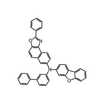 c1ccc(-c2cccc(N(c3ccc4c(ccc5oc(-c6ccccc6)nc54)c3)c3ccc4c(c3)oc3ccccc34)c2)cc1